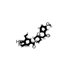 CCc1cc(C(=O)N2CCC3(CC2)CC(=O)c2cc(OC)ccc2O3)cc2cn[nH]c12